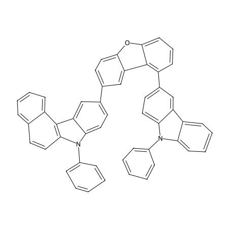 c1ccc(-n2c3ccccc3c3cc(-c4cccc5oc6ccc(-c7ccc8c(c7)c7c9ccccc9ccc7n8-c7ccccc7)cc6c45)ccc32)cc1